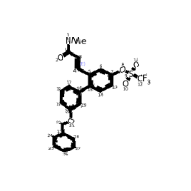 CNC(=O)/C=C/c1cc(OS(=O)(=O)C(F)(F)F)ccc1-c1cccc(OCc2ccccc2)c1